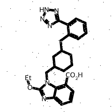 CCOc1nc2cccc(C(=O)O)c2n1CC1CCCC(Cc2ccccc2-c2nn[nH]n2)C1